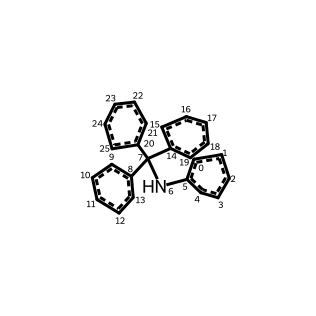 [c]1ccccc1NC(c1ccccc1)(c1ccccc1)c1ccccc1